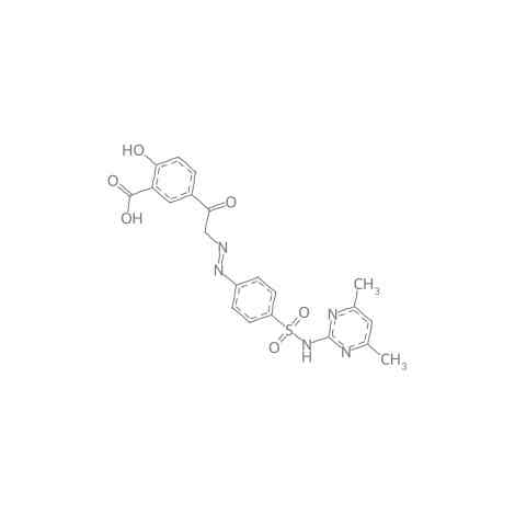 Cc1cc(C)nc(NS(=O)(=O)c2ccc(N=NCC(=O)c3ccc(O)c(C(=O)O)c3)cc2)n1